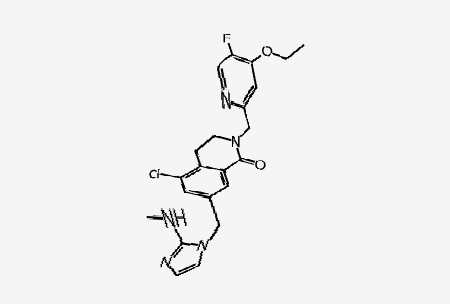 CCOc1cc(CN2CCc3c(Cl)cc(Cn4ccnc4NC)cc3C2=O)ncc1F